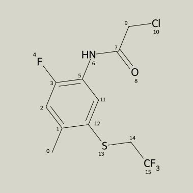 Cc1cc(F)c(NC(=O)CCl)cc1SCC(F)(F)F